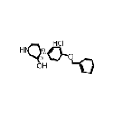 Cl.O[C@H]1CNCC[C@@H]1c1ccc(OCc2ccccc2)cc1